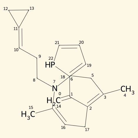 C=C(/C1=C(/C)CCN(CCC=C2CC2)/C(C)=C\C1)c1ccc[pH]1